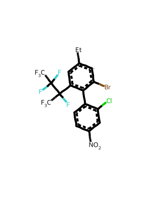 CCc1[c]c(Br)c(-c2ccc([N+](=O)[O-])cc2Cl)c(C(F)(C(F)(F)F)C(F)(F)C(F)(F)F)c1